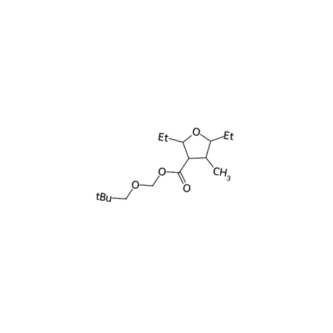 CCC1OC(CC)C(C(=O)OCOCC(C)(C)C)C1C